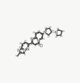 Cc1cn2nc(-c3cc(=O)n4cc(N5CC[C@H](N6CCCC6)C5)ccc4n3)ccc2n1